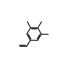 C=[C]c1cc(C)c(C)c(C)c1